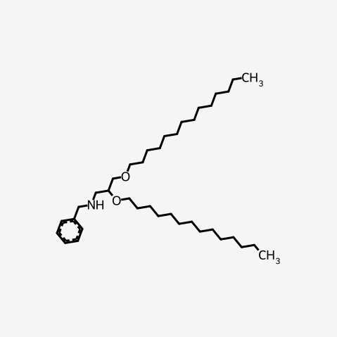 CCCCCCCCCCCCCCOCC(CNCc1ccccc1)OCCCCCCCCCCCCCC